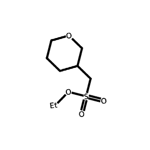 CCOS(=O)(=O)CC1CCCOC1